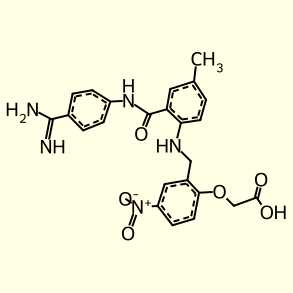 Cc1ccc(NCc2cc([N+](=O)[O-])ccc2OCC(=O)O)c(C(=O)Nc2ccc(C(=N)N)cc2)c1